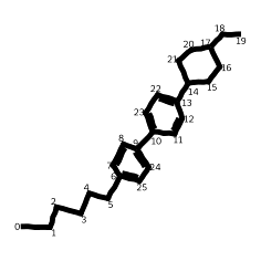 CCCCCCc1ccc(-c2ccc(C3CCC(CC)CC3)cc2)cc1